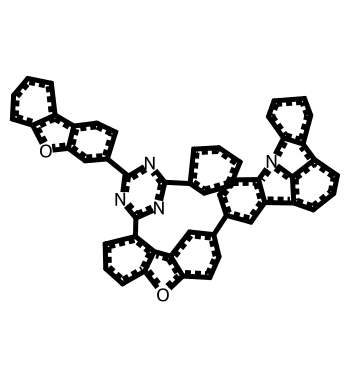 c1ccc(-c2nc(-c3ccc4c(c3)oc3ccccc34)nc(-c3cccc4oc5ccc(-c6ccc7c(c6)c6cccc8c9ccccc9n7c86)cc5c34)n2)cc1